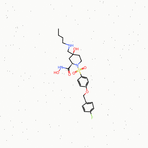 CCCCNC[C@]1(O)CCN(S(=O)(=O)c2ccc(OCc3ccc(F)cc3)cc2)[C@@H](C(=O)NO)C1